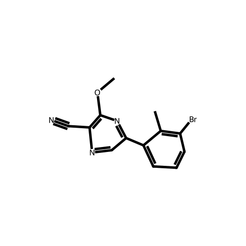 COc1nc(-c2cccc(Br)c2C)cnc1C#N